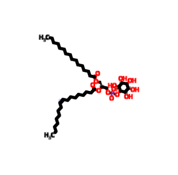 CCCCCCCC/C=C\CCCCCCCC(=O)O[C@H](COC(=O)CCCCCCCCCCCCCCC)COP(=O)(O)OC1[C@H](O)[C@H](O)C(O)[C@H](O)[C@H]1O